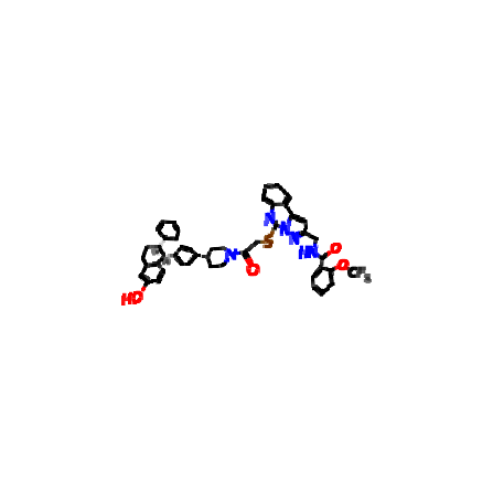 O=C(NCc1cc2c3ccccc3nc(SCC(=O)N3CCC(c4ccc([C@@H]5c6ccc(O)cc6CC[C@@H]5c5ccccc5)cc4)CC3)n2n1)c1ccccc1OC(F)(F)F